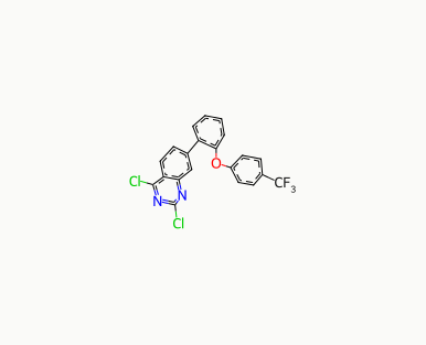 FC(F)(F)c1ccc(Oc2ccccc2-c2ccc3c(Cl)nc(Cl)nc3c2)cc1